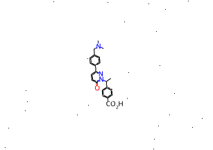 CC(c1ccc(C(=O)O)cc1)n1nc(-c2ccc(CN(C)C)cc2)ccc1=O